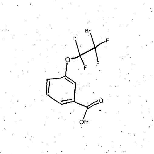 O=C(O)c1cccc(OC(F)(F)C(F)(F)Br)c1